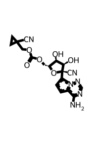 N#CC1(COC(=O)OC[C@H]2O[C@@](C#N)(c3ccc4c(N)ncnn34)[C@H](O)[C@@H]2O)CC1